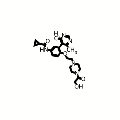 Cc1ncnc(C)c1-c1cc(NC(=O)C2CC2)ccc1OCCN1CCN(C(=O)CO)CC1